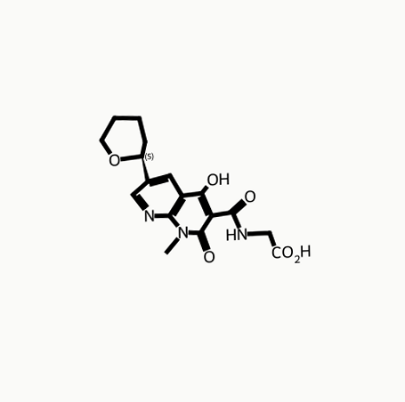 Cn1c(=O)c(C(=O)NCC(=O)O)c(O)c2cc([C@@H]3CCCCO3)cnc21